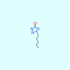 CCCCCC1=NC(=O)N=N1